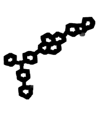 c1ccc(N(c2ccc(-c3cc4ccc5cc(-c6ccc7c(c6)oc6ccccc67)cc6ccc(c3)c4c56)cc2)c2ccc(-c3ccccn3)cc2)cc1